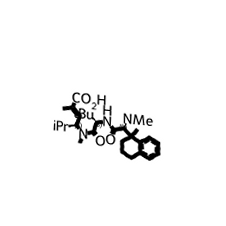 CN[C@@H](C(=O)N[C@H](C(=O)N(C)[C@H](C=C(C)C(=O)O)C(C)C)C(C)(C)C)C1(C)CCCc2ccccc21